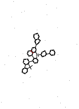 CC1(C)c2ccccc2-c2cccc(-c3cccc(N(c4ccc(-c5ccccc5)cc4)c4cccc(-c5ccc6ccccc6c5)c4)c3-c3ccccc3)c21